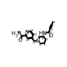 CC#CC(=O)N[C@@H]1CCCN(Cc2ccnc(C(N)=O)c2)C1